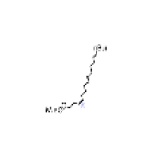 CCCCC=CCCCCCCCC/C=C\CCOOC